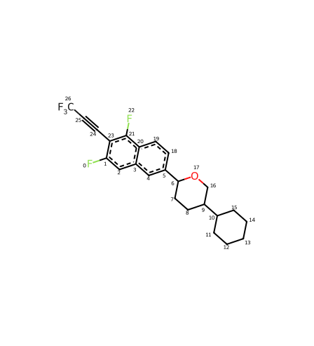 Fc1cc2cc(C3CCC(C4CCCCC4)CO3)ccc2c(F)c1C#CC(F)(F)F